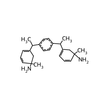 CC(C1=CC=CC(C)(N)C1)c1ccc(C(C)C2=CC=CC(C)(N)C2)cc1